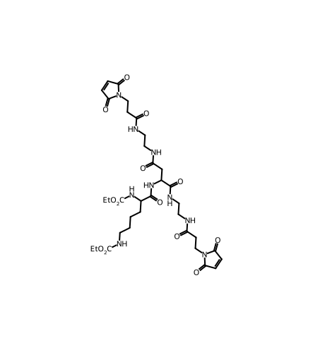 CCOC(=O)NCCCCC(NC(=O)OCC)C(=O)NC(CC(=O)NCCNC(=O)CCN1C(=O)C=CC1=O)C(=O)NCCNC(=O)CCN1C(=O)C=CC1=O